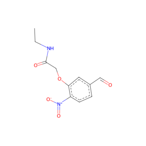 CCNC(=O)COc1cc(C=O)ccc1[N+](=O)[O-]